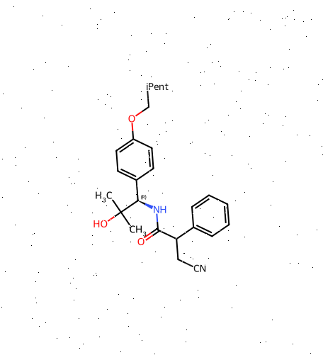 CCCC(C)COc1ccc([C@@H](NC(=O)C(CC#N)c2ccccc2)C(C)(C)O)cc1